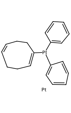 C1=CCC[C]([Pt]([c]2ccccc2)[c]2ccccc2)=CCC1.[Pt]